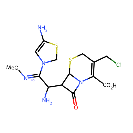 CO/N=C(/C(N)C1C(=O)N2C(C(=O)O)=C(CCl)CSC12)N1C=C(N)SC1